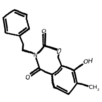 Cc1ccc2c(=O)n(Cc3ccccc3)c(=O)oc2c1O